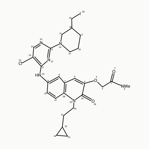 CNC(=O)COc1cc2cc(Nc3nc(N4CCCC(CI)C4)ncc3Cl)ccc2n(CCC2CC2)c1=O